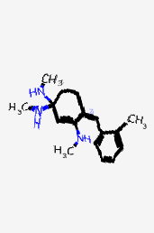 CNC1=CC(NC)(NC)CC/C1=C/c1ccccc1C